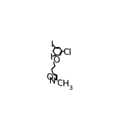 Cc1cc(CCCOC2(I)C=C(Cl)C=C(I)C2)on1